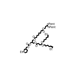 CC/C=C\CCCCOC(CCC(=O)OCC(COC(=O)CCCCCCC(=O)OCCC(CCCCC)CCCCC)COC(=O)OCC1CCCN(CC)C1)OCCCC/C=C\CC